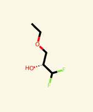 CCOC[C@@H](O)C(F)F